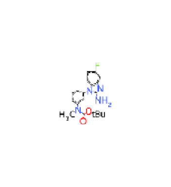 CN(C(=O)OC(C)(C)C)c1cccc(-n2c(N)nc3cc(F)ccc32)c1